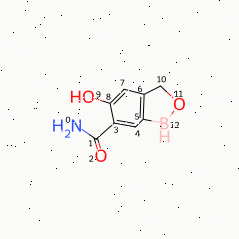 NC(=O)c1cc2c(cc1O)COB2